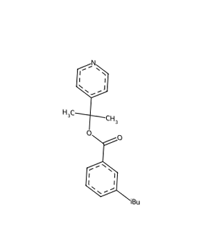 CCC(C)c1cccc(C(=O)OC(C)(C)c2ccncc2)c1